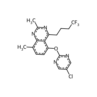 Cc1nc(CCCC(F)(F)F)c2c(Oc3ncc(Cl)cn3)ccc(C)c2n1